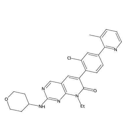 CCn1c(=O)c(-c2ccc(-c3ncccc3C)cc2Cl)cc2cnc(NC3CCOCC3)nc21